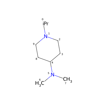 CC(C)N1CCC(N(C)C)CC1